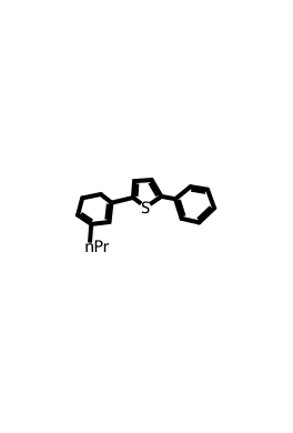 CCCC1=CCCC(c2ccc(-c3ccccc3)s2)=C1